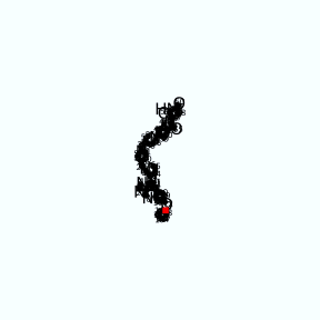 Nc1ncnc2c1c(-c1ccc(Oc3ccccc3)cc1)nn2[C@@H]1CCCN(CC2CCN(CC3CCN(c4ccc5c(c4)CN(C4CCC(=O)NC4=O)C5=O)CC3)CC2)C1